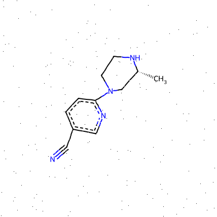 C[C@@H]1CN(c2ccc(C#N)cn2)CCN1